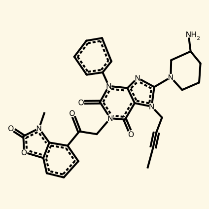 CC#CCn1c(N2CCCC(N)C2)nc2c1c(=O)n(CC(=O)c1cccc3oc(=O)n(C)c13)c(=O)n2-c1ccccc1